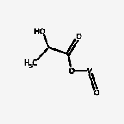 CC(O)C(=O)[O][V]=[O]